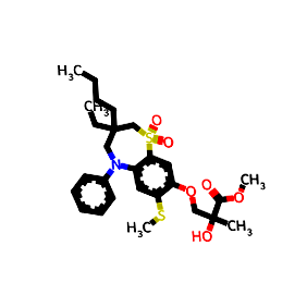 CCCCC1(CC)CN(c2ccccc2)c2cc(SC)c(OCC(C)(O)C(=O)OC)cc2S(=O)(=O)C1